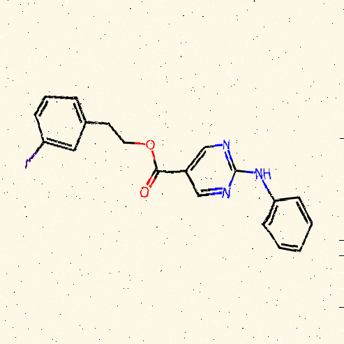 O=C(OCCc1cccc(I)c1)c1cnc(Nc2ccccc2)nc1